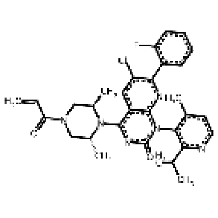 C=CC(=O)N1C[C@@H](C)N(c2nc(=O)n(-c3c(C)ccnc3C(C)C)c3nc(-c4ccccc4F)c(Cl)cc23)[C@H](C)C1